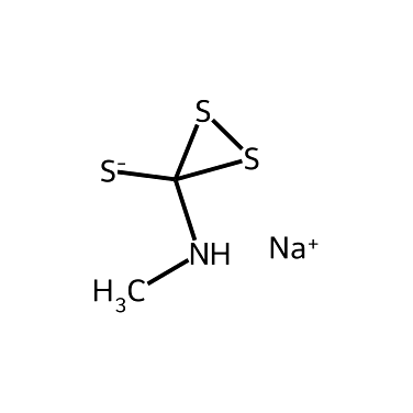 CNC1([S-])SS1.[Na+]